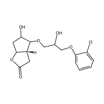 O=C1C[C@@H]2C(CC(O)C2OCC(O)COc2ccccc2Cl)O1